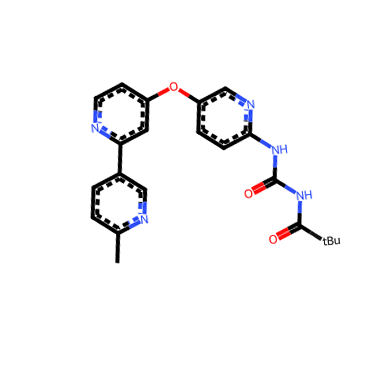 Cc1ccc(-c2cc(Oc3ccc(NC(=O)NC(=O)C(C)(C)C)nc3)ccn2)cn1